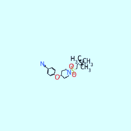 C[Si](C)(C)CCS(=O)(=O)N1CCC(Oc2ccc(C#N)cc2)CC1